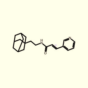 O=C(/C=C/c1cccnc1)NCCC12CC3CC(CC(C3)C1)C2